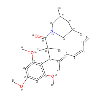 C=C/C=C\C=C(/C)C(c1c(OC)cc(OC)cc1OC)C(C)(C)C(=O)N1CC(C)CC(C)C1